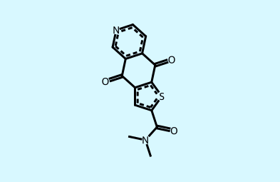 CN(C)C(=O)c1cc2c(s1)C(=O)c1ccncc1C2=O